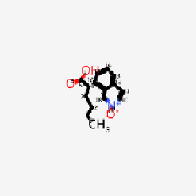 CCCCCC(=O)O.[O-][n+]1ccc2ccccc2c1